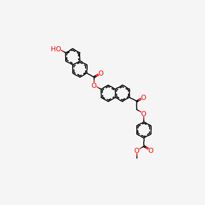 COC(=O)c1ccc(OCC(=O)c2ccc3cc(OC(=O)c4ccc5cc(O)ccc5c4)ccc3c2)cc1